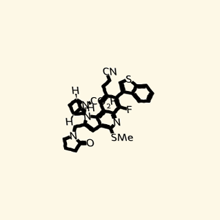 CSc1nc2c(F)c(-c3csc4ccccc34)c(CCC#N)cc2c2c1cc(CN1CCCC1=O)n2[C@H]1[C@@H]2C[C@H]1N(C(=O)O)C2